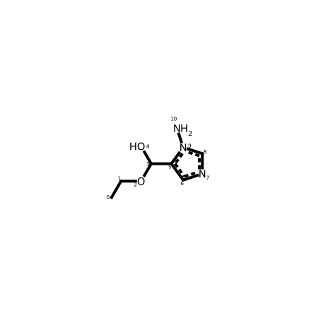 CCOC(O)c1cncn1N